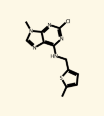 Cc1ccc(CNc2nc(Cl)nc3c2ncn3C)s1